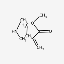 C=CC(=O)OC.CC.CNC